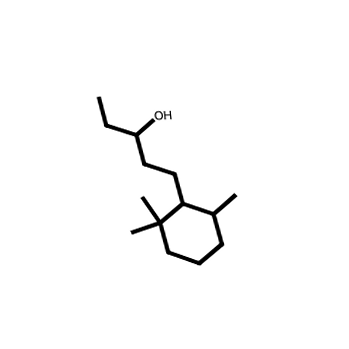 CCC(O)CCC1C(C)CCCC1(C)C